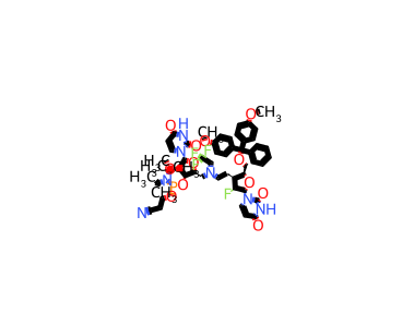 COc1ccc(C(OC[C@H]2O[C@@H](n3ccc(=O)[nH]c3=O)[C@H](F)[C@@H]2CCN(C[C@H]2O[C@@H](n3ccc(=O)[nH]c3=O)[C@H](OC)[C@@H]2OP(OCCC#N)N(C(C)C)C(C)C)CC(F)(F)F)(c2ccccc2)c2ccc(OC)cc2)cc1